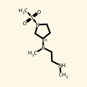 CNCCN(C)[C@@H]1CCN(S(C)(=O)=O)C1